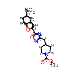 CC(C)(C)OC(=O)N1CCC(Cc2noc(-c3cc4cc([N+](=O)[O-])ccc4o3)n2)CC1